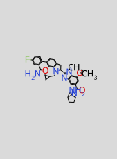 COc1cc(C(=O)N2CC3CCC2C3N)cc2nc(-c3cc4ccc(-c5ccc(F)cc5C(N)=O)cc4n3CC3CC3)n(C)c12